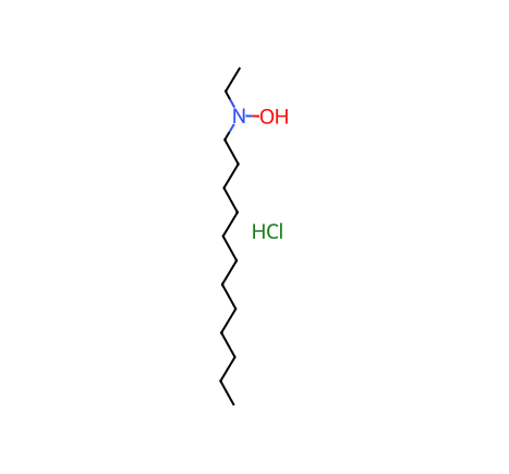 CCCCCCCCCCCCN(O)CC.Cl